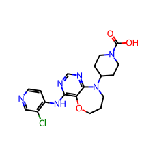 O=C(O)N1CCC(N2CCCOc3c(Nc4ccncc4Cl)ncnc32)CC1